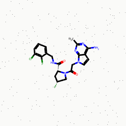 Cc1nc(N)c2ccn(CC(=O)N3C[C@H](F)C[C@@H]3C(=O)NCc3cccc(Cl)c3F)c2n1